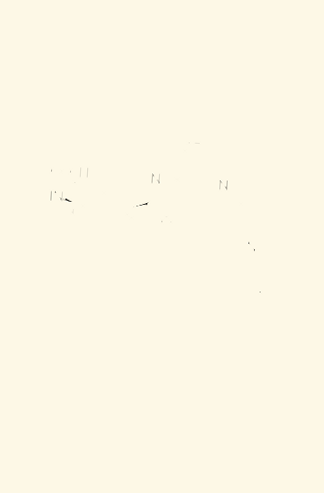 CN(C(=O)[C@H]1CC[C@@H](NC(=O)O)C1)[C@@H](c1ccc(NC2Cc3ccccc3C2(C)C)cn1)C(F)(F)F